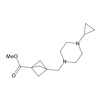 COC(=O)C12CC(CN3CCN(C4CC4)CC3)(C1)C2